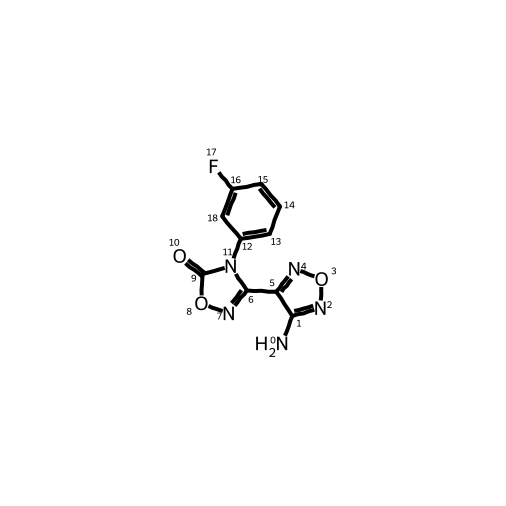 Nc1nonc1-c1noc(=O)n1-c1cccc(F)c1